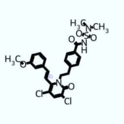 COc1cccc(/C=C/c2c(Cl)cc(Cl)c(=O)n2CCc2ccc(C(=O)NS(=O)(=O)N(C)C)cc2)c1